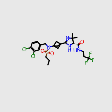 CCCS(=O)(=O)N(Cc1ccc(Cl)c(Cl)c1)C12CC(C3=NC(C)(C)[C@H](C(=O)NCCC(F)(F)F)N3)(C1)C2